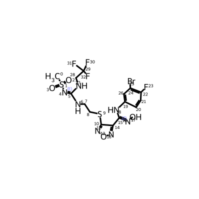 CS(=O)(=O)/N=C(/NCCSc1nonc1/C(=N/O)Nc1ccc(F)c(Br)c1)NCC(F)(F)F